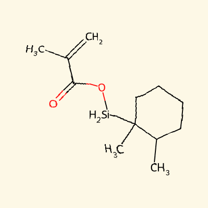 C=C(C)C(=O)O[SiH2]C1(C)CCCCC1C